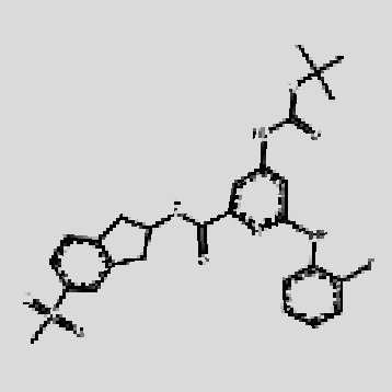 CC(C)(C)OC(=O)Nc1cc(Nc2ccccc2F)nc(C(=O)NC2Cc3ccc(S(C)(=O)=O)cc3C2)c1